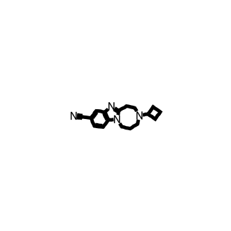 N#Cc1ccc2c(c1)nc1n2CCCN(C2CCC2)CC1